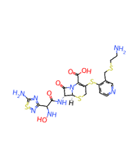 NCCSCc1cnccc1SC1=C(C(=O)O)N2C(=O)[C@@H](NC(=O)C(NO)c3nsc(N)n3)[C@@H]2SC1